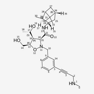 CNCC#Cc1cccc(CN2O[C@@H](CO)[C@@H]([C@H](C)O)[C@H]2C(=O)N[C@H]2C[C@H]3CC([C@@H]2C)C3(C)C)c1